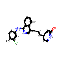 CCc1ccc(Nc2ncc(CCc3ccnc(O)c3)c3ccccc23)cc1Br